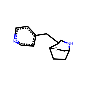 c1cc(CC2CNC3CCC2CC3)ccn1